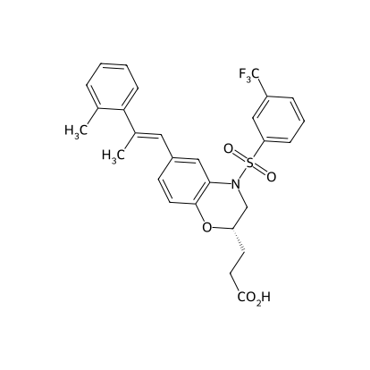 C/C(=C\c1ccc2c(c1)N(S(=O)(=O)c1cccc(C(F)(F)F)c1)C[C@H](CCC(=O)O)O2)c1ccccc1C